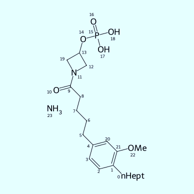 CCCCCCCc1ccc(CCCCC(=O)N2CC(OP(=O)(O)O)C2)cc1OC.N